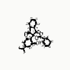 CC(C)c1ccc(C2(OC(=O)c3ccccc3)C(=O)c3ccccc3C2=O)c(O)c1